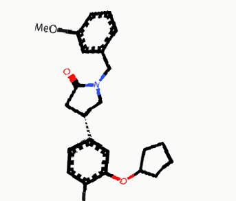 COc1cccc(CN2C[C@H](c3ccc(OC)c(OC4CCCC4)c3)CC2=O)c1